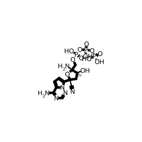 N#C[C@]1(c2ccc3c(N)ncnn23)C[C@H](O)[C@@](N)(COP(=O)(O)OP(=O)(O)OP(=O)(O)O)O1